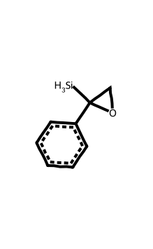 [SiH3]C1(c2ccccc2)CO1